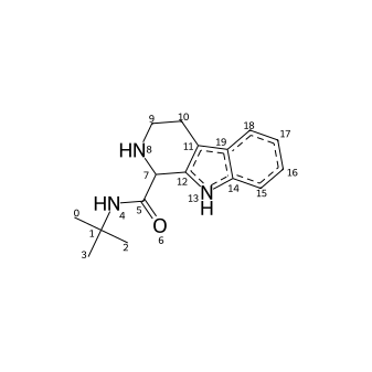 CC(C)(C)NC(=O)C1NCCc2c1[nH]c1ccccc21